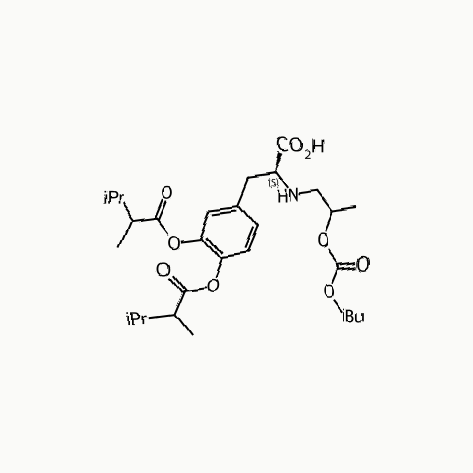 CCC(C)OC(=O)OC(C)CN[C@@H](Cc1ccc(OC(=O)C(C)C(C)C)c(OC(=O)C(C)C(C)C)c1)C(=O)O